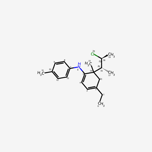 CCC1=CC=C(Nc2ccc(C)cc2)C(C)([C@@H](C)[C@H](C)Cl)C1